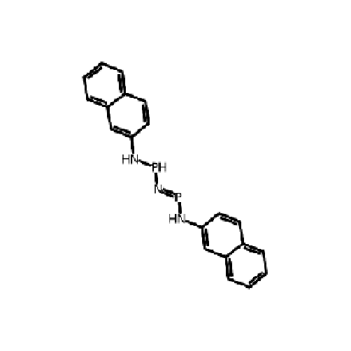 c1ccc2cc(NP=NPNc3ccc4ccccc4c3)ccc2c1